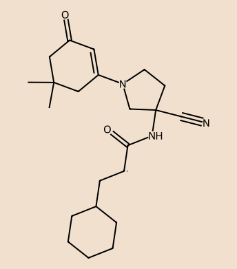 CC1(C)CC(=O)C=C(N2CCC(C#N)(NC(=O)[CH]CC3CCCCC3)C2)C1